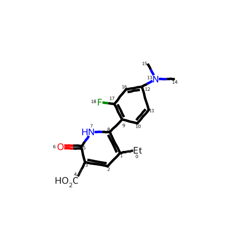 CCc1cc(C(=O)O)c(=O)[nH]c1-c1ccc(N(C)C)cc1F